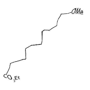 CCOC(=O)CCCCCCCOC